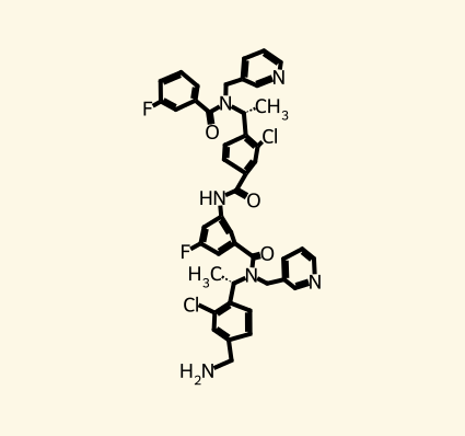 C[C@H](c1ccc(C(=O)Nc2cc(F)cc(C(=O)N(Cc3cccnc3)[C@@H](C)c3ccc(CN)cc3Cl)c2)cc1Cl)N(Cc1cccnc1)C(=O)c1cccc(F)c1